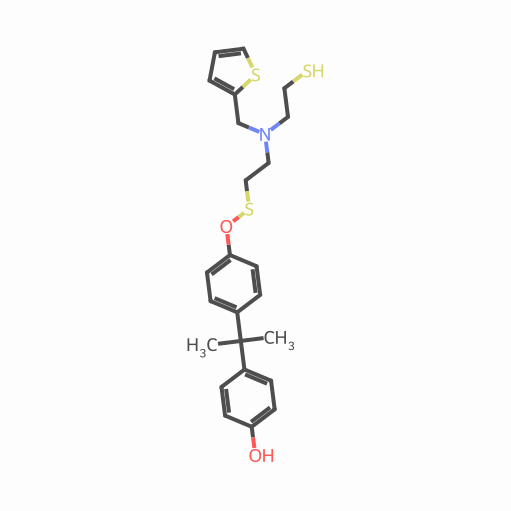 CC(C)(c1ccc(O)cc1)c1ccc(OSCCN(CCS)Cc2cccs2)cc1